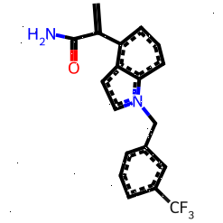 C=C(C(N)=O)c1cccc2c1ccn2Cc1cccc(C(F)(F)F)c1